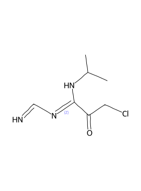 CC(C)N/C(=N\C=N)C(=O)CCl